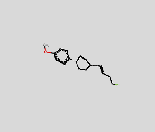 FCCC=C[C@H]1CC[C@H](c2ccc(OC(F)(F)F)cc2)CC1